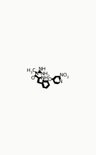 CN(C(=N)N)C(=O)c1cc2cccc(Oc3ccnc([N+](=O)[O-])c3)c2[nH]1